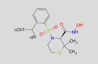 CCCCCCCCC(CCC)c1ccccc1S(=O)(=O)N1CCSC(C)(C)[C@@H]1C(=O)NO